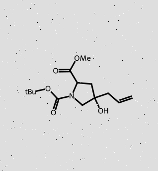 C=CCC1(O)CC(C(=O)OC)N(C(=O)OC(C)(C)C)C1